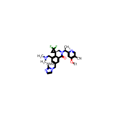 CCOc1cc([C@H](C)N2C[C@]3(CC3(F)F)c3c(CN(C)C)cc(Cn4ccnc4NC)cc3C2=O)ncc1C#N